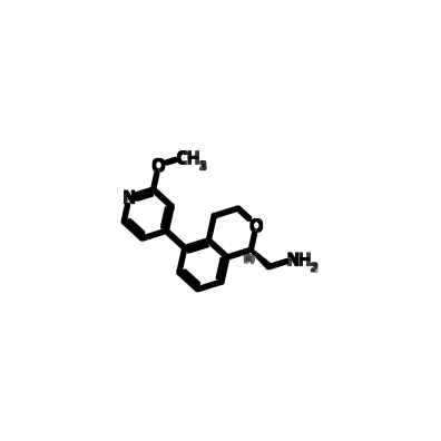 COc1cc(-c2cccc3c2CCO[C@H]3CN)ccn1